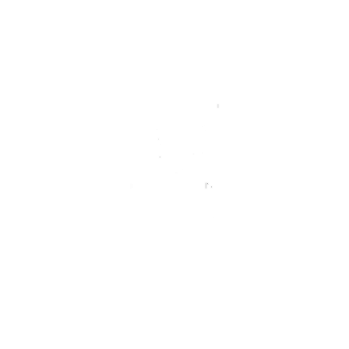 CC(C)(C)c1cc(CNCc2ccco2)c(O)c(S(C)(=O)=O)c1.Cl